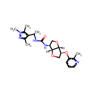 Cc1ncccc1O[C@H]1CO[C@H]2[C@@H]1OC[C@@H]2NC(=O)NC(C)c1c(C)nn(C)c1C